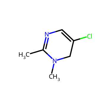 CC1=NC=C(Cl)CN1C